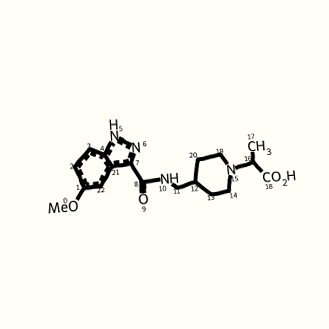 COc1ccc2[nH]nc(C(=O)NCC3CCN(C(C)C(=O)O)CC3)c2c1